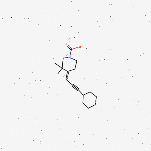 CC1(C)CN(C(=O)O)CC/C1=C\C#CC1CCCCC1